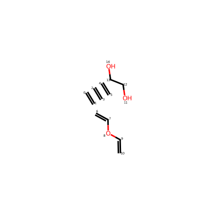 C=C.C=C.C=C.C=COC=C.OCCO